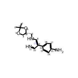 CC1(C)OC[C@@H](CN/C=C(\C=N)c2ccc(N)cc2)O1